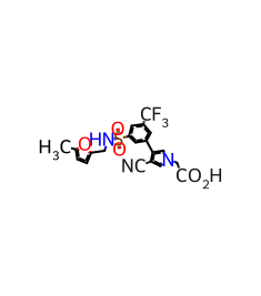 Cc1ccc(CNS(=O)(=O)c2cc(-c3cn(CC(=O)O)cc3C#N)cc(C(F)(F)F)c2)o1